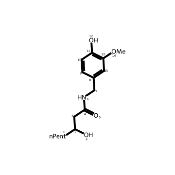 CCCCCC(O)CC(=O)NCc1ccc(O)c(OC)c1